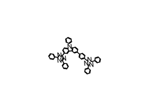 c1ccc(-c2nc(-c3ccccc3)nc(-c3ccc(-c4ccc5c(c4)c4cc(-c6nc(-c7ccccc7)nc(-c7ccccc7)n6)ccc4n5-c4ccccc4)cc3)n2)cc1